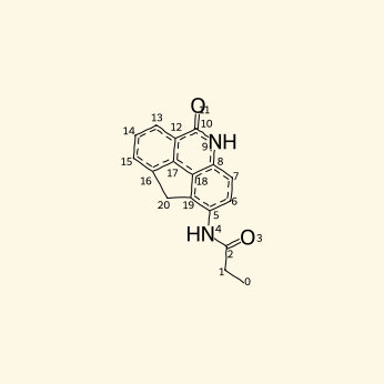 CCC(=O)Nc1ccc2[nH]c(=O)c3cccc4c3c2c1C4